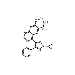 CCOc1cc2ncnc(-c3cn(C4CC4)nc3-c3ccccc3)c2cc1[C@@H](C)O